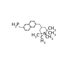 CN1C(C)(C)CC(Cc2ccc3cc(CP)ccc3c2)CC1(C)C